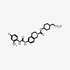 O=C(O)CC1CCC(OC(=O)N2CCc3cc(NC(=O)Nc4ccc(F)cc4C(F)(F)F)ccc3C2)CC1